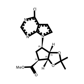 COC(=O)[C@H]1C[C@@H](n2ccc3c(Cl)ncnc32)[C@@H]2OC(C)(C)O[C@@H]21